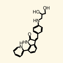 O=C1Nc2c(C3=CC=CC=CN3)cccc2C1=Cc1ccc(NCC(O)CO)cc1